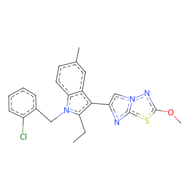 CCc1c(-c2cn3nc(OC)sc3n2)c2cc(C)ccc2n1Cc1ccccc1Cl